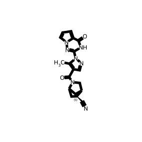 Cc1c(C(=O)N2CC3CC2C[C@@H]3C#N)cnn1-c1nn2cccc2c(=O)[nH]1